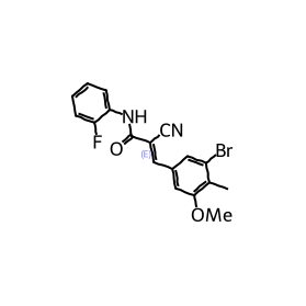 COc1cc(/C=C(\C#N)C(=O)Nc2ccccc2F)cc(Br)c1C